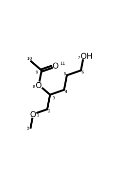 COCC(CCCO)OC(C)=O